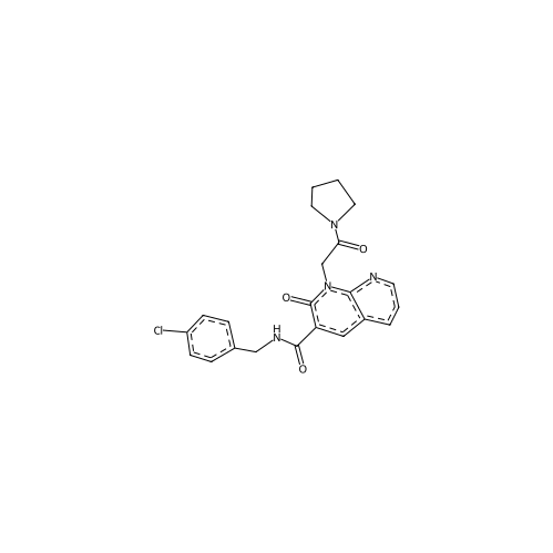 O=C(NCc1ccc(Cl)cc1)c1cc2cccnc2n(CC(=O)N2CCCC2)c1=O